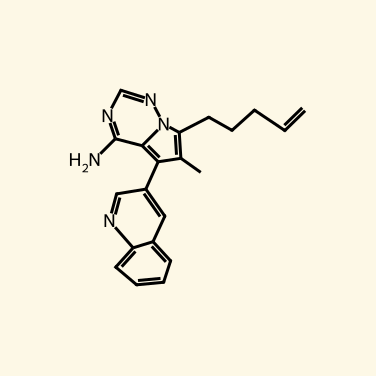 C=CCCCc1c(C)c(-c2cnc3ccccc3c2)c2c(N)ncnn12